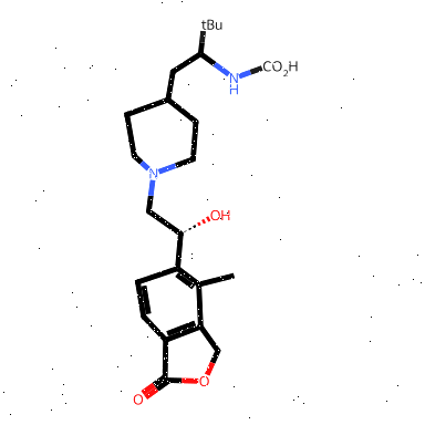 Cc1c([C@@H](O)CN2CCC(CC(NC(=O)O)C(C)(C)C)CC2)ccc2c1COC2=O